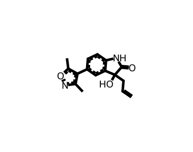 C=CCC1(O)C(=O)Nc2ccc(-c3c(C)noc3C)cc21